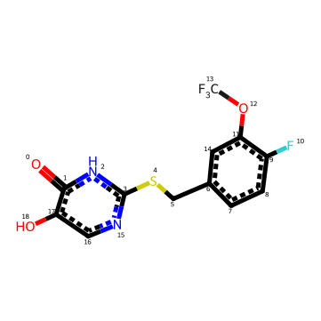 O=c1[nH]c(SCc2ccc(F)c(OC(F)(F)F)c2)ncc1O